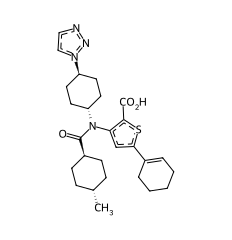 C[C@H]1CC[C@H](C(=O)N(c2cc(C3=CCCCC3)sc2C(=O)O)[C@H]2CC[C@H](n3ccnn3)CC2)CC1